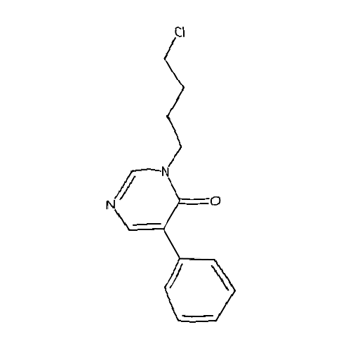 O=c1c(-c2ccccc2)cncn1CCCCCl